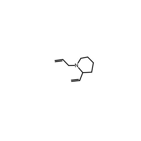 C=CCN1CCCCC1C=C